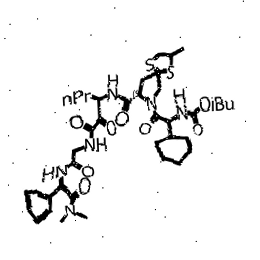 CCCC(NC(=O)[C@@H]1CC2(CN1C(=O)C(NC(=O)OCC(C)C)C1CCCCC1)SCC(C)S2)C(=O)C(=O)NCC(=O)NC(C(=O)N(C)C)c1ccccc1